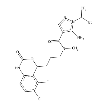 CCC(n1ncc(C(=O)N(C)CCCC2OC(=O)Nc3ccc(Cl)c(F)c32)c1N)C(F)(F)F